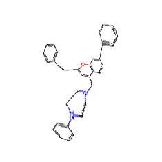 C1=C(CN2CCN(c3ccccc3)CC2)c2ccc(-c3ccccc3)cc2OC1Cc1ccccc1